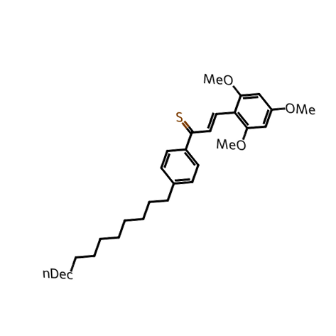 CCCCCCCCCCCCCCCCCCc1ccc(C(=S)C=Cc2c(OC)cc(OC)cc2OC)cc1